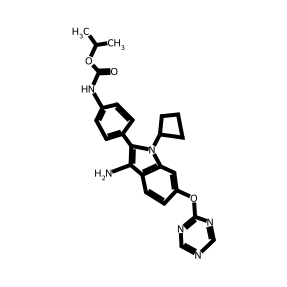 CC(C)OC(=O)Nc1ccc(-c2c(N)c3ccc(Oc4ncncn4)cc3n2C2CCC2)cc1